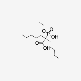 CCCCCC(CCCCC)(C(=O)O)P(=O)(O)OCC